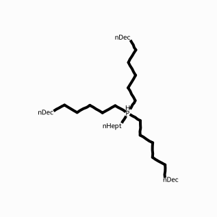 CCCCCCCCCCCCCCC[PH](CCCCCCC)(CCCCCCCCCCCCCCC)CCCCCCCCCCCCCCC